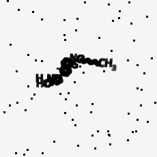 CCCCCCOc1nc2ccc3cc([C@H]4CC[C@](N)(CO)C4)ccc3c2s1